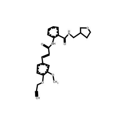 C#CCOc1ccc(C=CC(=O)Nc2ccccc2C(=O)NCC2CCOC2)cc1OC